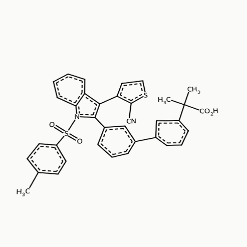 Cc1ccc(S(=O)(=O)n2c(-c3cccc(-c4cccc(C(C)(C)C(=O)O)c4)c3)c(-c3ccsc3C#N)c3ccccc32)cc1